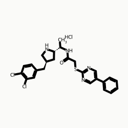 CC(NC(=O)CSc1ncc(-c2ccccc2)cn1)[C@@H]1C[C@@H](Cc2ccc(Cl)c(Cl)c2)CN1.Cl